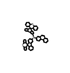 c1ccc2c(c1)Sc1ccccc1C21c2ccccc2-c2cc(N(c3ccc4c(c3)-c3ccccc3C43c4ccccc4Sc4ccccc43)c3ccc4c(ccc5ccccc54)c3)ccc21